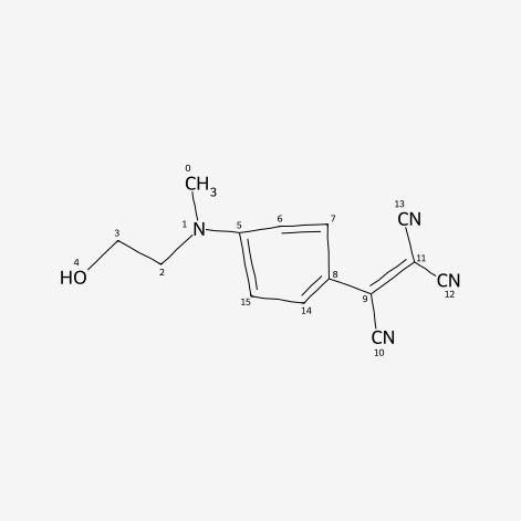 CN(CCO)c1ccc(C(C#N)=C(C#N)C#N)cc1